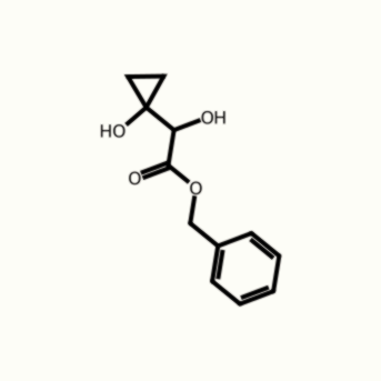 O=C(OCc1ccccc1)C(O)C1(O)CC1